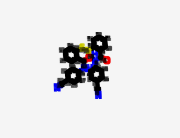 N#Cc1ccc(NC(=O)c2ccccc2SSc2ccccc2C(=O)Nc2ccc(C#N)cc2)cc1